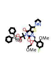 COCCO[C@@H](Cn1c(=O)n(C(C)(C)C(=O)O[Si](c2ccccc2)(c2ccccc2)C(C)(C)C)c(=O)c2c(C)c(-n3cccn3)sc21)c1cc(F)ccc1OC